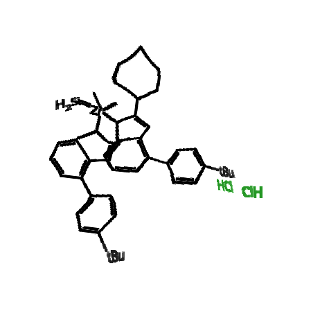 CC1=Cc2c(-c3ccc(C(C)(C)C)cc3)cccc2[CH]1[Zr]([CH3])([CH3])(=[SiH2])[CH]1C(C2CCCCC2)=Cc2c(-c3ccc(C(C)(C)C)cc3)cccc21.Cl.Cl